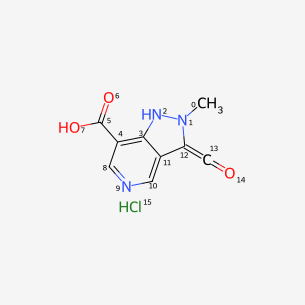 CN1Nc2c(C(=O)O)cncc2C1=C=O.Cl